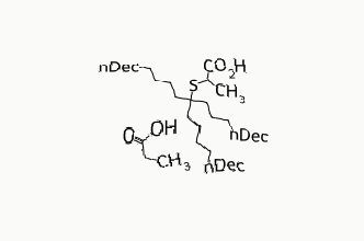 CCC(=O)O.CCCCCCCCCCCCCCC(CCCCCCCCCCCCC)(CCCCCCCCCCCCCC)SC(C)C(=O)O